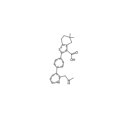 CNCc1ncccc1-c1ccc(-c2sc3c(c2C(=O)O)CC(C)(C)CC3)cc1